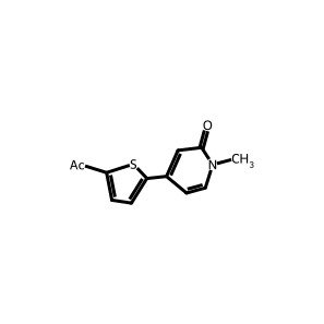 CC(=O)c1ccc(-c2ccn(C)c(=O)c2)s1